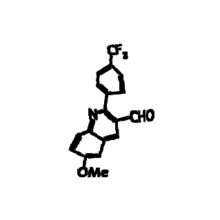 COc1ccc2nc(-c3ccc(C(F)(F)F)cc3)c(C=O)cc2c1